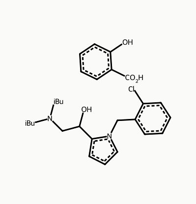 CCC(C)N(CC(O)c1cccn1Cc1ccccc1Cl)C(C)CC.O=C(O)c1ccccc1O